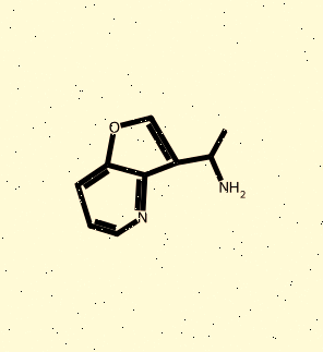 CC(N)c1coc2cccnc12